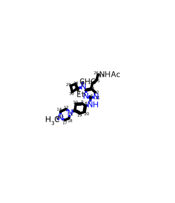 CCC1(N(C=O)c2nc(Nc3ccc(N4CCN(C)CC4)cc3)ncc2CCCNC(C)=O)CCC1